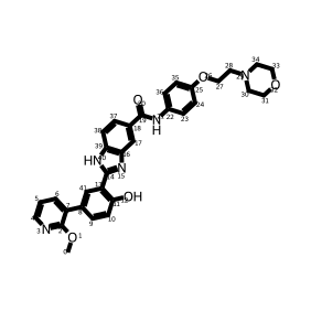 COc1ncccc1-c1ccc(O)c(-c2nc3cc(C(=O)Nc4ccc(OCCN5CCOCC5)cc4)ccc3[nH]2)c1